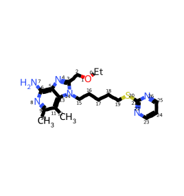 CCOCc1nc2c(N)nc(C)c(C)c2n1CCCCCSc1ncccn1